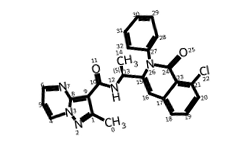 Cc1nn2cccnc2c1C(=O)N[C@@H](C)c1cc2cccc(Cl)c2c(=O)n1-c1ccccc1